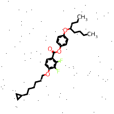 CCCCC(CCC)Oc1ccc(OC(=O)c2ccc(OCCCCCCC3CC3)c(F)c2F)cc1